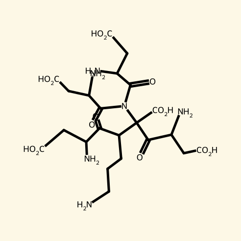 NCCCC(C(=O)C(N)CC(=O)O)C(C(=O)O)(C(=O)C(N)CC(=O)O)N(C(=O)C(N)CC(=O)O)C(=O)C(N)CC(=O)O